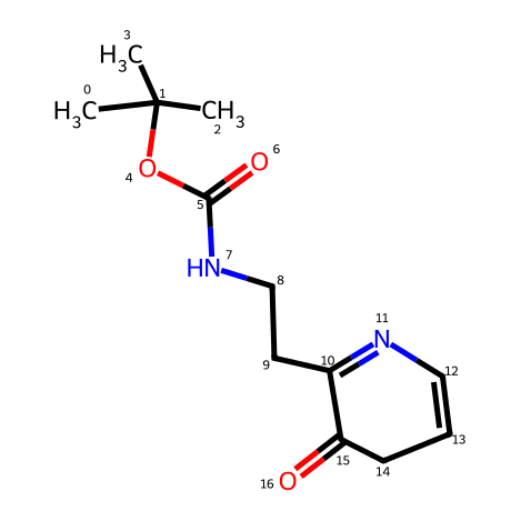 CC(C)(C)OC(=O)NCCC1=NC=CCC1=O